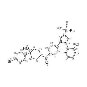 O=C(c1ccc(-c2cc(C(F)(F)F)cn2-c2ccccc2Cl)cc1)C1CCC(O)(c2ccc(Br)cc2)CC1